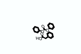 O=C(O)Cc1ccccc1.O=C(Oc1ccccc1)Oc1ccccc1